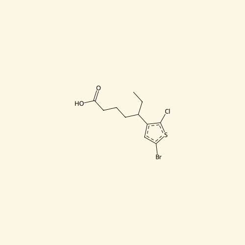 CCC(CCCC(=O)O)c1cc(Br)sc1Cl